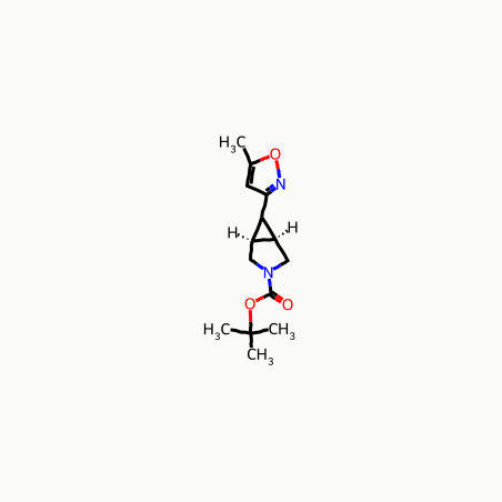 Cc1cc(C2[C@H]3CN(C(=O)OC(C)(C)C)C[C@@H]23)no1